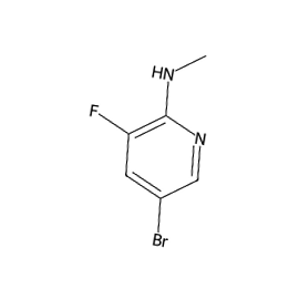 CNc1ncc(Br)cc1F